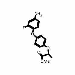 COC(=O)C(C)Oc1ccc(Oc2ccc(N)cc2F)cc1